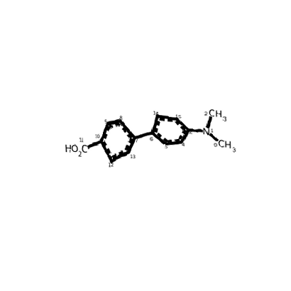 CN(C)c1ccc(-c2ccc(C(=O)O)cc2)cc1